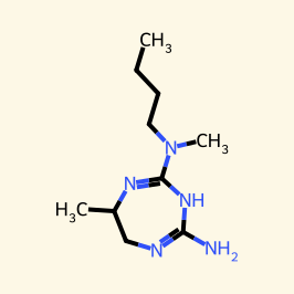 CCCCN(C)C1=NC(C)CN=C(N)N1